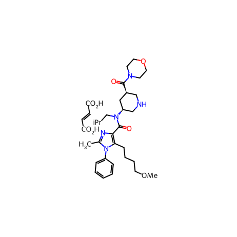 COCCCCc1c(C(=O)N(CC(C)C)[C@@H]2CNC[C@H](C(=O)N3CCOCC3)C2)nc(C)n1-c1ccccc1.O=C(O)/C=C/C(=O)O